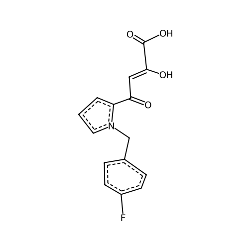 O=C(O)C(O)=CC(=O)c1cccn1Cc1ccc(F)cc1